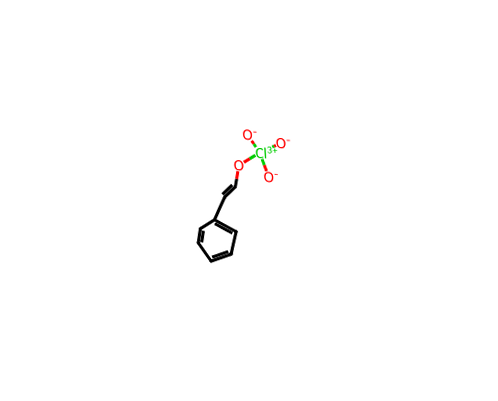 [O-][Cl+3]([O-])([O-])OC=Cc1ccccc1